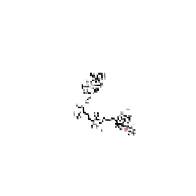 C/C(=C/C=C(\C)C(=O)OCCC(=O)OC(CS(=O)(=O)O)(C(F)(F)F)C(F)(F)F)C(=O)OCCCC(=O)OC(CS(=O)(=O)O)(C(F)(F)F)C(F)(F)F